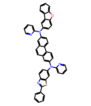 c1ccc(-c2nc3ccc(N(c4ccc5c(ccc6cc(N(c7ccc8oc9ccccc9c8c7)c7ccccn7)ccc65)c4)c4ccccn4)cc3s2)cc1